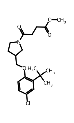 COC(=O)CCC(=O)N1CCC(COc2ccc(Cl)cc2C(C)(C)C)C1